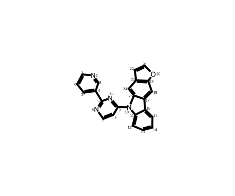 c1cncc(-c2nccc(-n3c4ccccc4c4cc5occc5cc43)n2)c1